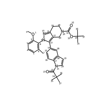 COc1cccc(C)c1-n1nc2c(c1-c1ccc3c(ccn3C(=O)C(C)(C)C)c1)CN(C(=O)OC(C)(C)C)CC2